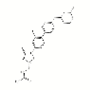 CC(=O)NC[C@H]1CN(c2ccc(-c3ccc(CC4CCCC(F)C4)cc3)c(F)c2)C(=O)O1